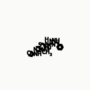 CN1C(=O)[C@@H](NC(=O)c2n[nH]c(Cc3ccccc3)n2)CSc2cnc(N[C@H]3CCOC3)cc21